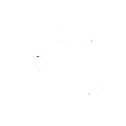 COC(=O)[C@@H]1Cc2ccc(cc2)OCCn2cc(nn2)COc2ccccc2C(=O)N[C@H](CC(C)C)C(=O)N2C[C@@H](O)C[C@@H]2C(=O)N[C@@H](Cc2csc3ccccc23)C(=O)N1